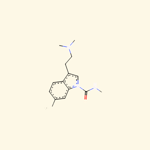 CCNC(=O)n1cc(CCN(C)C)c2ccc(OC)cc21